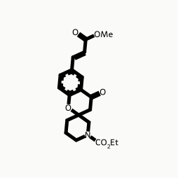 CCOC(=O)N1CCCC2(CC(=O)c3cc(C=CC(=O)OC)ccc3O2)C1